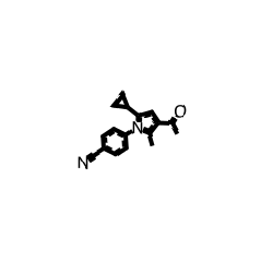 CC(=O)c1cc(C2CC2)n(-c2ccc(C#N)cc2)c1C